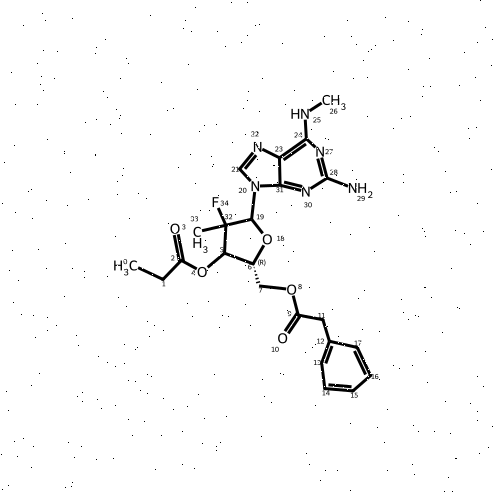 CCC(=O)OC1[C@@H](COC(=O)Cc2ccccc2)OC(n2cnc3c(NC)nc(N)nc32)C1(C)F